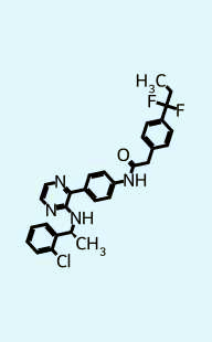 CCC(F)(F)c1ccc(CC(=O)Nc2ccc(-c3nccnc3N[C@@H](C)c3ccccc3Cl)cc2)cc1